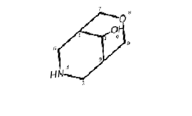 OC1C2CNCC1COC2